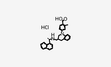 Cc1cc(N2CC(CN[C@H](C)c3cccc4ccccc34)Cc3ccccc32)ccc1C(=O)O.Cl